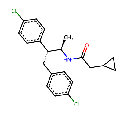 C[C@@H](NC(=O)CC1CC1)[C@H](Cc1ccc(Cl)cc1)c1ccc(Cl)cc1